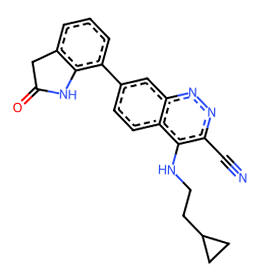 N#Cc1nnc2cc(-c3cccc4c3NC(=O)C4)ccc2c1NCCC1CC1